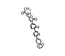 CC(=O)NCC1CN(c2ccc(-c3ccc(N4CCC5(CC4)OCCO5)nc3)c(F)c2)C(=O)O1